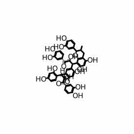 CC1Cc2c(O)cc(O)c(C3c4c(O)cc5c(c4O[C@H](c4ccc(O)c(O)c4)[C@H]3O)[C@H]3c4c(O)cc(O)cc4O[C@@](c4ccc(O)c(O)c4)(O5)[C@@H]3O)c2OC1c1ccc(O)c(O)c1